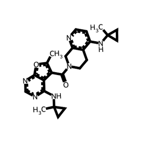 Cc1oc2ncnc(NC3(C)CC3)c2c1C(=O)N1CCc2c(NC3(C)CC3)ccnc2C1